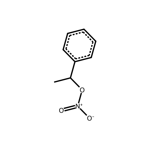 CC(O[N+](=O)[O-])c1ccccc1